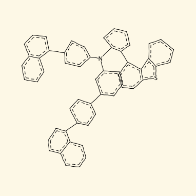 c1cc(-c2ccc(-c3cccc4ccccc34)cc2)cc(N(c2ccc(-c3cccc4ccccc34)cc2)c2ccccc2-c2cccc3sc4ccccc4c23)c1